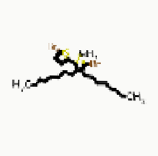 CCCCCCCCC1=C(Br)S(=[SiH2])C(c2ccc(Br)s2)=C1CCCCCCCC